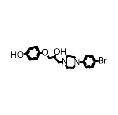 Oc1ccc(OCC(O)CN2CCN(c3ccc(Br)cc3)CC2)cc1